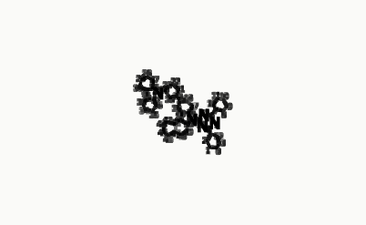 c1ccc(-c2nc(-c3ccccc3)nc(-n3c4ccc(-c5cccc(-n6c7ccccc7c7ccccc76)c5)cc4c4c5ccccc5ccc43)n2)cc1